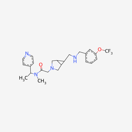 CC(c1ccncc1)N(C)C(=O)CN1CC2C(CNCc3cccc(OC(F)(F)F)c3)C2C1